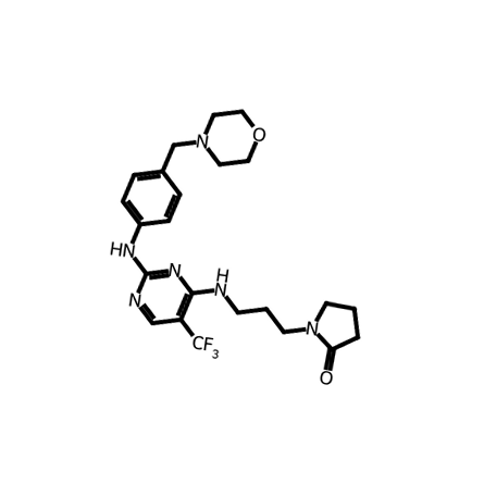 O=C1CCCN1CCCNc1nc(Nc2ccc(CN3CCOCC3)cc2)ncc1C(F)(F)F